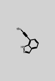 CC(C)(C)C#Cc1cccc2cn[nH]c12